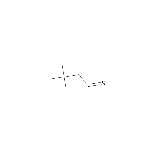 CC(C)(C)CC=S